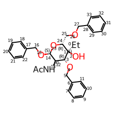 CC[C@]1(O)[C@H](OCc2ccccc2)[C@@H](NC(C)=O)[C@@H](OCc2ccccc2)O[C@@H]1COCc1ccccc1